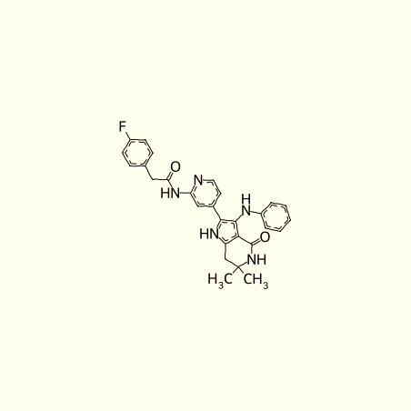 CC1(C)Cc2[nH]c(-c3ccnc(NC(=O)Cc4ccc(F)cc4)c3)c(Nc3ccccc3)c2C(=O)N1